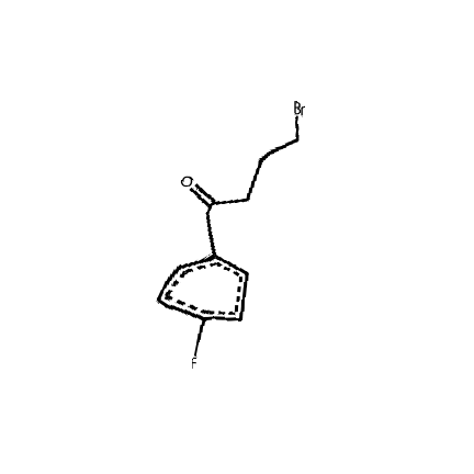 O=C(CCCBr)c1ccc(F)cc1